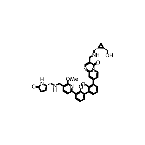 COc1nc(-c2cccc(-c3cccc(-c4ccn5c(=O)c(CNC[C@@H]6C[C@H]6CO)cnc5c4)c3Cl)c2Cl)ccc1CNC[C@@H]1CCC(=O)N1